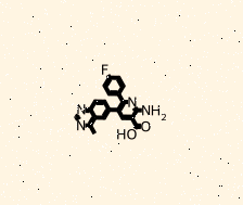 Cc1ncnc2ccc(-c3cc(C(=O)O)c(N)nc3-c3ccc(F)cc3)cc12